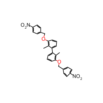 Cc1c(OCc2ccc([N+](=O)[O-])cc2)cccc1-c1cccc(OCc2ccc([N+](=O)[O-])cc2)c1C